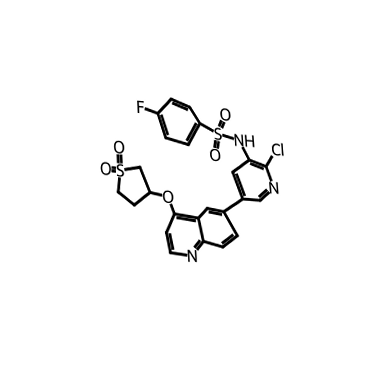 O=S1(=O)CCC(Oc2ccnc3ccc(-c4cnc(Cl)c(NS(=O)(=O)c5ccc(F)cc5)c4)cc23)C1